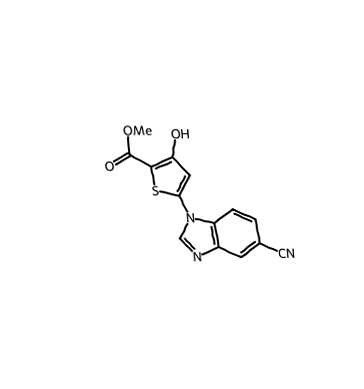 COC(=O)c1sc(-n2cnc3cc(C#N)ccc32)cc1O